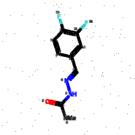 CNC(=O)N/N=C/c1ccc(F)c(F)c1